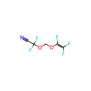 N#CC(F)(F)OCOC(F)=C(F)F